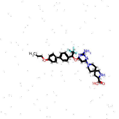 CCCOc1ccc(-c2ccc(C(Oc3cc(N4CCC5(CC4)CNC(C(=O)O)C5)nc(N)n3)C(F)(F)F)cc2)cc1